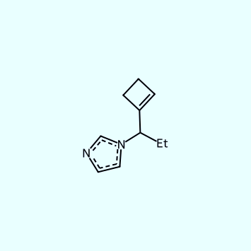 CCC(C1=CCC1)n1ccnc1